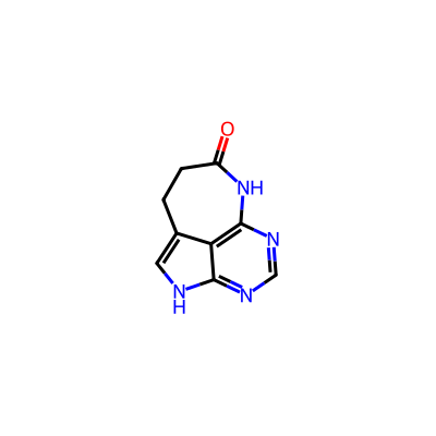 O=C1CCc2c[nH]c3ncnc(c23)N1